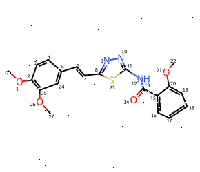 COc1ccc(C=Cc2nnc(NC(=O)c3ccccc3OC)s2)cc1OC